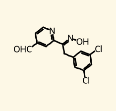 O=Cc1ccnc(/C(Cc2cc(Cl)cc(Cl)c2)=N/O)c1